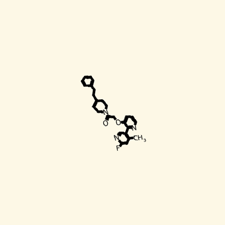 Cc1cc(F)ncc1-c1ncccc1OCC(=O)N1CCC(CCc2ccccc2)CC1